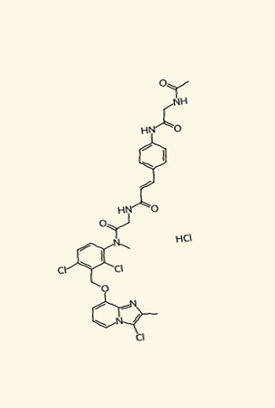 CC(=O)NCC(=O)Nc1ccc(/C=C/C(=O)NCC(=O)N(C)c2ccc(Cl)c(COc3cccn4c(Cl)c(C)nc34)c2Cl)cc1.Cl